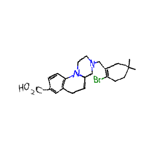 CC1(C)CCC(Br)=C(CN2CCN3c4ccc(C(=O)O)cc4CCC3C2)C1